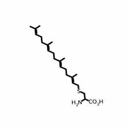 CC(C)=CCC/C(C)=C/CC/C(C)=C/CC/C(C)=C/CSCC(N)C(=O)O